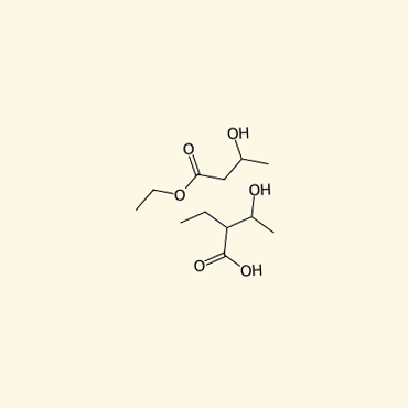 CCC(C(=O)O)C(C)O.CCOC(=O)CC(C)O